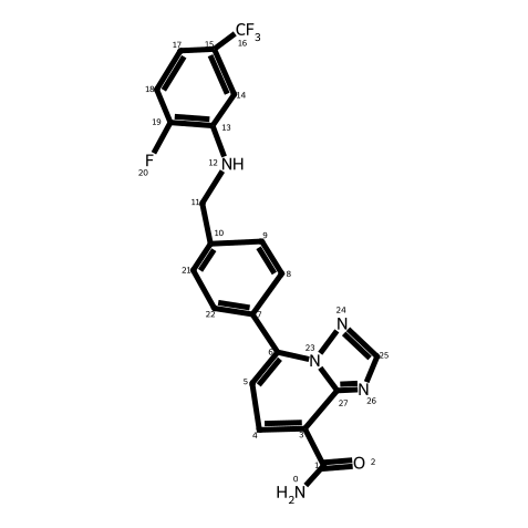 NC(=O)c1ccc(-c2ccc(CNc3cc(C(F)(F)F)ccc3F)cc2)n2n[c]nc12